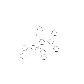 c1ccc(-c2cc(-c3ccccc3)cc(-c3cc(N(c4ccc(-c5cccc6c5oc5ccccc56)cc4)c4ccc5ccccc5c4)cc4c3oc3c5ccccc5ccc43)c2)cc1